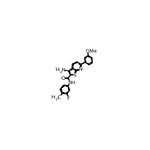 COc1cccc(-c2ccc3c(N)c(C(=O)Nc4ccc(C)c(F)c4)sc3n2)c1